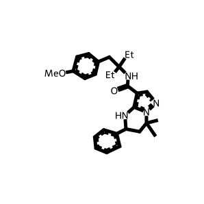 CCC(CC)(Cc1ccc(OC)cc1)NC(=O)c1cnn2c1NC(c1ccccc1)CC2(C)C